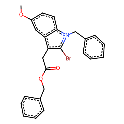 COc1ccc2c(c1)c(CC(=O)OCc1ccccc1)c(Br)n2Cc1ccccc1